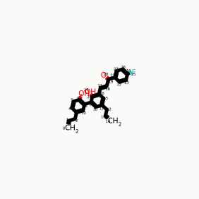 C=CCc1ccc(O)c(-c2cc(CC=C)cc(C=CC(=O)c3ccc(F)cc3)c2O)c1